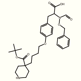 CC(C)(C)OC(=O)C1(CCCCOc2ccc(CC(C(=O)O)N(C=O)OCc3ccccc3)cc2)CCNCC1